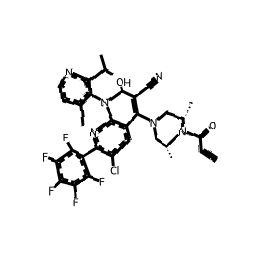 C=CC(=O)N1[C@H](C)CN(C2=C(C#N)C(O)N(c3c(C)ccnc3C(C)C)c3nc(-c4c(F)c(F)c(F)c(F)c4F)c(Cl)cc32)C[C@@H]1C